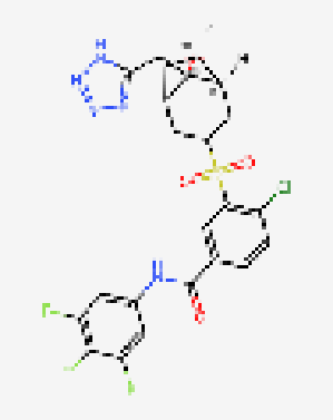 C[C@H]1CC2CC(S(=O)(=O)c3cc(C(=O)Nc4cc(F)c(F)c(F)c4)ccc3Cl)C[C@H]1[C@@]2(O)Cc1nnn[nH]1